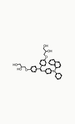 OCC(O)COc1ccc(C(=Cc2ccc(N(c3ccccc3)c3cccc4ccccc34)cc2)c2ccc(OCC(O)CO)cc2)cc1